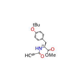 C#CC(=O)N[C@@H](Cc1ccc(OC(C)(C)C)cc1)C(=O)OC